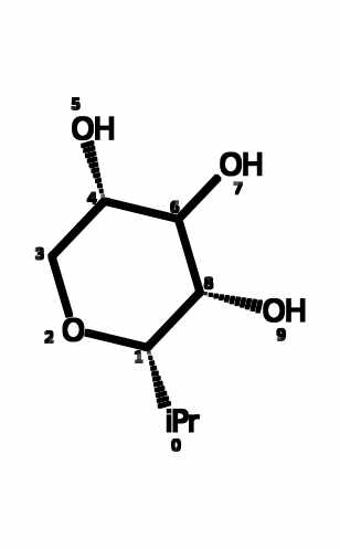 CC(C)[C@@H]1OC[C@H](O)C(O)[C@@H]1O